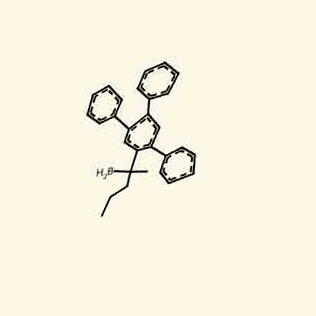 BC(C)(CCC)c1cc(-c2ccccc2)c(-c2ccccc2)cc1-c1ccccc1